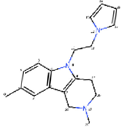 Cc1ccc2c(c1)c1c(n2CCn2cccc2)CCN(C)C1